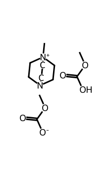 COC(=O)O.COC(=O)[O-].C[N+]12CCN(CC1)CC2